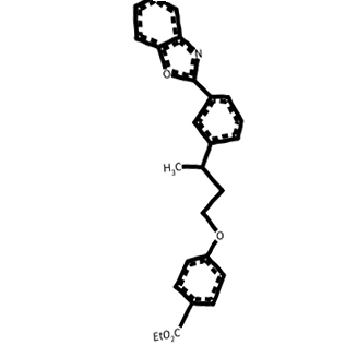 CCOC(=O)c1ccc(OCCC(C)c2cccc(-c3nc4ccccc4o3)c2)cc1